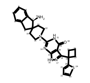 N[C@@H]1c2ccccc2CC12CCN(c1nc3[nH]nc(C4(c5cccs5)CCC4)c3c(=O)[nH]1)CC2